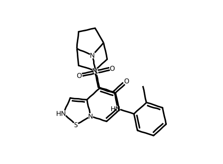 Cc1ccccc1NC(=O)CN1CC2CCC(C1)N2S(=O)(=O)C1=CC=CN2SNC=C12